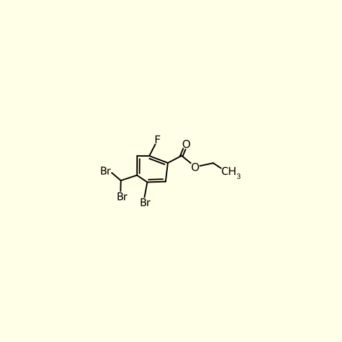 CCOC(=O)c1cc(Br)c(C(Br)Br)cc1F